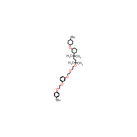 CC(C)(CCC(C)(C)C1CCCC(OC2CCC(C(C)(C)C)CC2)C1)OCCOCCOc1cccc(OCCOc2ccc(C(C)(C)C)cc2)c1